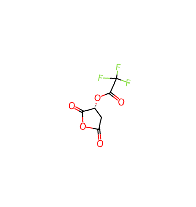 O=C1C[C@@H](OC(=O)C(F)(F)F)C(=O)O1